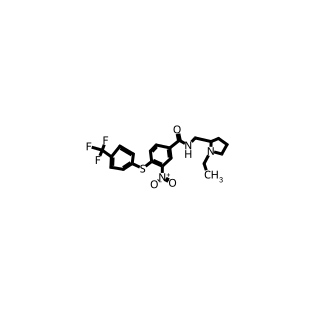 CCN1CCCC1CNC(=O)c1ccc(Sc2ccc(C(F)(F)F)cc2)c([N+](=O)[O-])c1